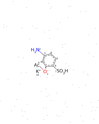 CC(=O)[O-].Nc1ccc(S(=O)(=O)O)cc1.[K+]